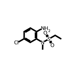 CCS(=O)(=O)N(C)c1cc(Cl)ccc1N